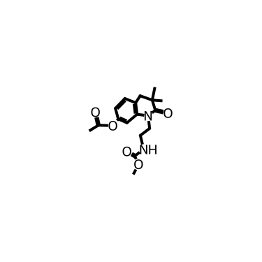 COC(=O)NCCN1C(=O)C(C)(C)Cc2ccc(OC(C)=O)cc21